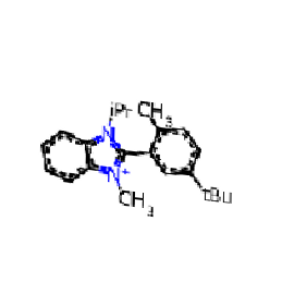 Cc1ccc(C(C)(C)C)cc1-c1n(C(C)C)c2ccccc2[n+]1C